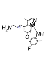 CC1=CN=C2N=C(Nc3ccc(F)cc3C)N(C)C23CC(=O)CC(/C=C/CN)=C13